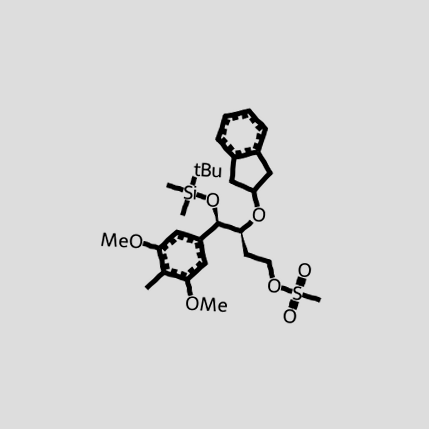 COc1cc([C@@H](O[Si](C)(C)C(C)(C)C)[C@H](CCOS(C)(=O)=O)OC2Cc3ccccc3C2)cc(OC)c1C